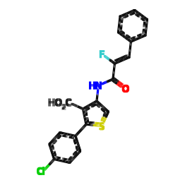 O=C(Nc1csc(-c2ccc(Cl)cc2)c1C(=O)O)/C(F)=C/c1ccccc1